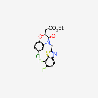 CCOC(=O)CC1Oc2ccc(Cl)cc2N(Cc2nc3ccc(F)c(F)c3s2)C1=O